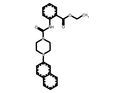 CCOC(=O)c1ccccc1NC(=O)N1CCN(c2ccc3ccccc3c2)CC1